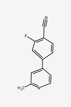 Cc1cc(-c2ccc(C#N)c(F)c2)ccn1